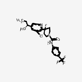 CC[C@H](O)c1cnc(C2(F)CCN(C(=O)Nc3ccc(C(F)(F)F)cc3)CC2)c(Cl)c1